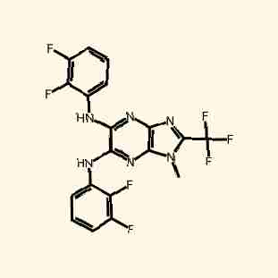 Cn1c(C(F)(F)F)nc2nc(Nc3cccc(F)c3F)c(Nc3cccc(F)c3F)nc21